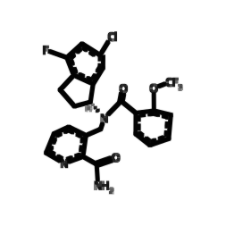 NC(=O)c1ncccc1CN(C(=O)c1ccccc1OC(F)(F)F)[C@@H]1CCc2c(F)cc(Cl)cc21